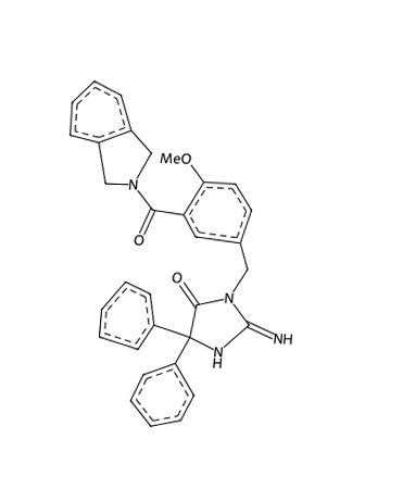 COc1ccc(CN2C(=N)NC(c3ccccc3)(c3ccccc3)C2=O)cc1C(=O)N1Cc2ccccc2C1